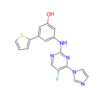 Oc1cc(Nc2ncc(F)c(-n3ccnc3)n2)cc(-c2cccs2)c1